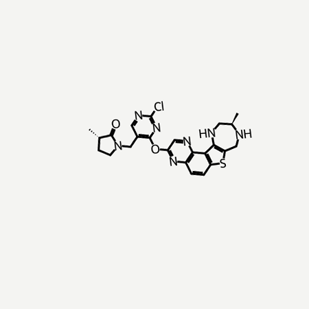 C[C@@H]1CNc2c(sc3ccc4nc(Oc5nc(Cl)ncc5CN5CC[C@H](C)C5=O)cnc4c23)CN1